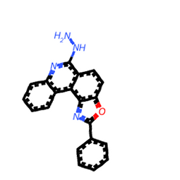 NNc1nc2ccccc2c2c1ccc1oc(-c3ccccc3)nc12